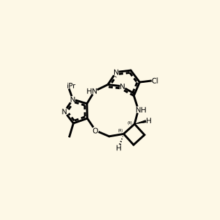 Cc1nn(C(C)C)c2c1OC[C@@H]1CC[C@H]1Nc1nc(ncc1Cl)N2